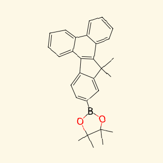 CC1(C)c2cc(B3OC(C)(C)C(C)(C)O3)ccc2-c2c1c1ccccc1c1ccccc21